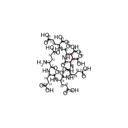 NC(CCC(=O)O)C(=O)NC(CCC(=O)O)C(=O)NC(CCC(=O)O)C(=O)NC(CCC(=O)O)C(=O)NC(CCC(=O)O)C(=O)NC(CCC(=O)O)C(=O)NC(CCC(=O)O)C(=O)O